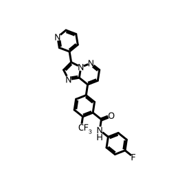 O=C(Nc1ccc(F)cc1)c1cc(-c2ccnn3c(-c4cccnc4)cnc23)ccc1C(F)(F)F